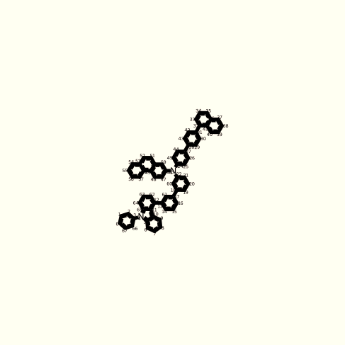 c1ccc(-n2c3ccccc3c3c(-c4cccc(-c5cccc(N(c6ccc(-c7ccc(-c8cccc9ccccc89)cc7)cc6)c6ccc7c(ccc8ccccc87)c6)c5)c4)cccc32)cc1